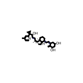 C=C1/C(=C\C=C2/CCC[C@]3(C)[C@@H]([C@H](C)/C=C/[C@H](O)C4(c5cc(C)ccn5)CC4)CC[C@@H]23)C[C@@H](O)C[C@@H]1O